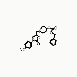 N#Cc1ccc(N2CC(CN3CCC(OC(=O)OCc4ccccc4)CC3)OC2=O)cc1